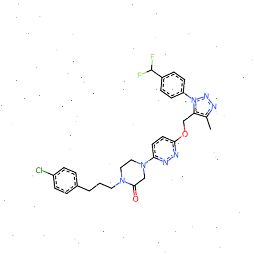 Cc1nnn(-c2ccc(C(F)F)cc2)c1COc1ccc(N2CCN(CCCc3ccc(Cl)cc3)C(=O)C2)nn1